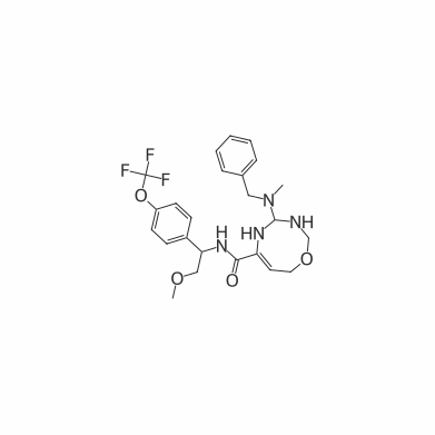 COCC(NC(=O)/C1=C/COCNC(N(C)Cc2ccccc2)N1)c1ccc(OC(F)(F)F)cc1